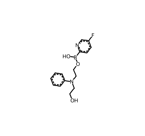 OCCN(CCOB(O)c1ccc(F)cn1)c1ccccc1